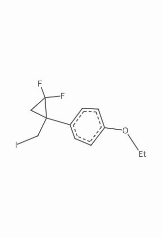 CCOc1ccc(C2(CI)CC2(F)F)cc1